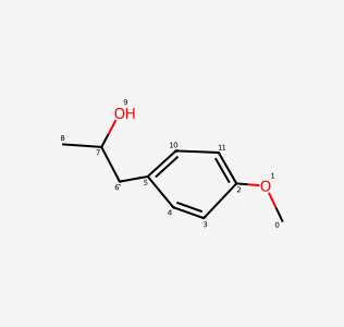 COc1ccc([CH]C(C)O)cc1